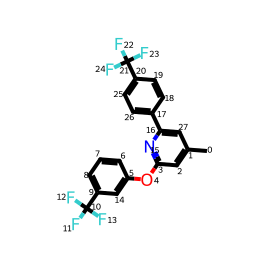 Cc1cc(Oc2cccc(C(F)(F)F)c2)nc(-c2ccc(C(F)(F)F)cc2)c1